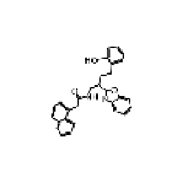 O=C(Cc1cccc2ccccc12)NCC(CCc1ccccc1O)c1nc2ccccc2o1